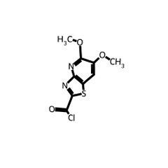 COc1cc2sc(C(=O)Cl)nc2nc1OC